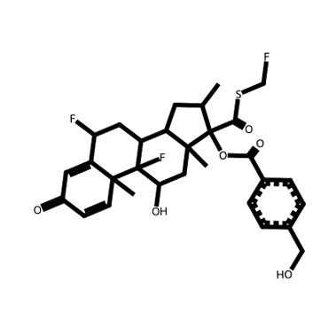 CC1CC2C3CC(F)C4=CC(=O)C=CC4(C)C3(F)C(O)CC2(C)C1(OC(=O)c1ccc(CO)cc1)C(=O)SCF